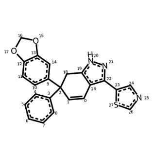 C1=CC(c2ccccc2)(c2ccc3c(c2)OCO3)Cc2[nH]nc(-c3cncs3)c21